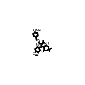 COc1ccc(COC(=O)C2=C(C)NC3=C(C(=O)CC(C)(C)C3)C2c2cc3c(cc2[N+](=O)[O-])OCO3)cc1